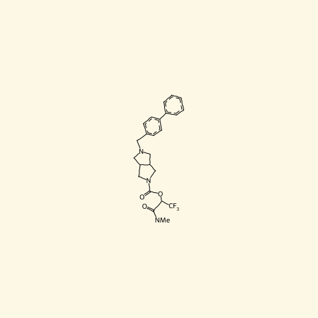 CNC(=O)C(OC(=O)N1CC2CN(Cc3ccc(-c4ccccc4)cc3)CC2C1)C(F)(F)F